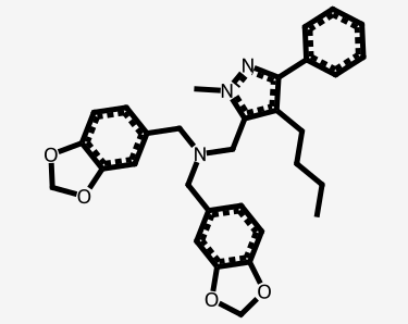 CCCCc1c(-c2ccccc2)nn(C)c1CN(Cc1ccc2c(c1)OCO2)Cc1ccc2c(c1)OCO2